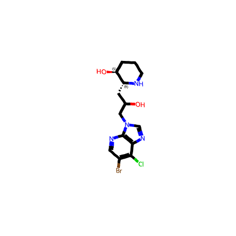 OC(C[C@H]1NCCC[C@@H]1O)Cn1cnc2c(Cl)c(Br)cnc21